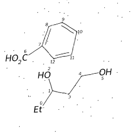 CCC(O)CCO.O=C(O)c1ccccc1